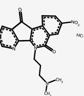 CN(C)CCCn1c2c(c3ccc([N+](=O)[O-])cc3c1=O)C(=O)c1cccnc1-2.Cl